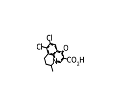 CC1CCc2c(Cl)c(Cl)cc3c(=O)c(C(=O)O)cn1c23